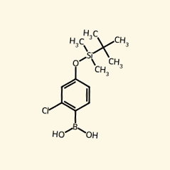 CC(C)(C)[Si](C)(C)Oc1ccc(B(O)O)c(Cl)c1